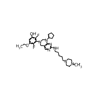 CCOc1cc(O)c(F)c(N2Cc3cnc(NCCCCCN4CCN(C)CC4)nc3N(C3CCCC3)C2)c1F